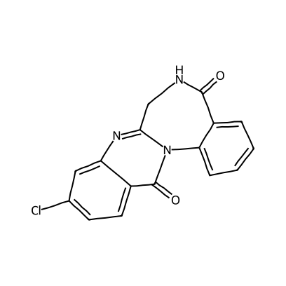 O=C1NCc2nc3cc(Cl)ccc3c(=O)n2-c2ccccc21